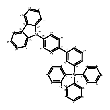 N#Cc1ccccc1[Si](c1ccccc1)(c1ccccc1)c1cccc(-c2ccc(-n3c4ccccc4c4ccccc43)cc2)c1